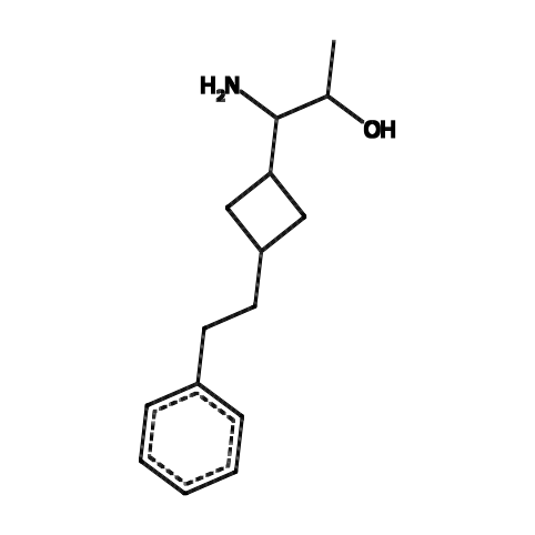 CC(O)C(N)C1CC(CCc2ccccc2)C1